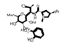 CCC[C@@H]1C[C@@H](C(=O)N[C@@H]([C@H]2O[C@H](SC)[C@H](O)[C@@H](O)[C@H]2O)[C@H](C)Cl)N(C)C1.O=C(O)c1ccccc1O